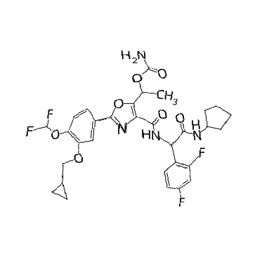 CC(OC(N)=O)c1oc(-c2ccc(OC(F)F)c(OCC3CC3)c2)nc1C(=O)NC(C(=O)NC1CCCC1)c1ccc(F)cc1F